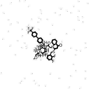 [2H]C([2H])(COC)N1C([2H])([2H])C([2H])([2H])C([2H])(N(C(=O)Cn2c(SCc3cccc(F)c3F)cc(=O)c3ccccc32)C([2H])([2H])c2ccc(-c3ccc(C(F)(F)F)cc3)cc2)C([2H])([2H])C1([2H])[2H]